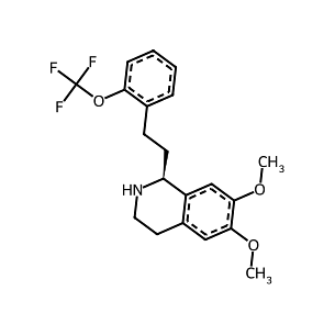 COc1cc2c(cc1OC)[C@H](CCc1ccccc1OC(F)(F)F)NCC2